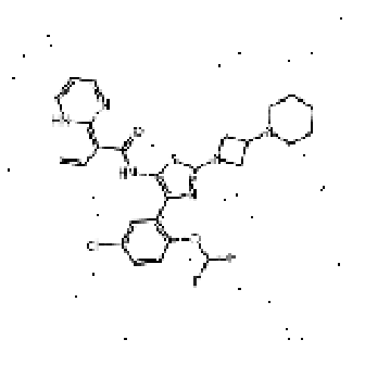 C=C/C(C(=O)Nc1sc(N2CC(N3CCCCC3)C2)nc1-c1cc(Cl)ccc1OC(F)F)=C1/N=CC=CN1